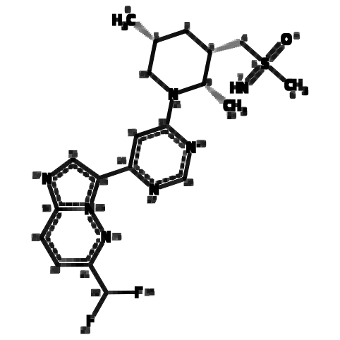 C[C@@H]1C[C@H](CS(C)(=N)=O)[C@H](C)N(c2cc(-c3cnc4ccc(C(F)F)nn34)ncn2)C1